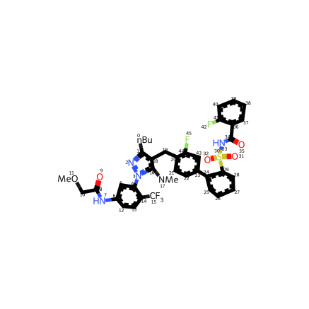 CCCCc1nn(-c2cc(NC(=O)COC)ccc2C(F)(F)F)c(NC)c1Cc1ccc(-c2ccccc2S(=O)(=O)NC(=O)c2ccccc2F)cc1F